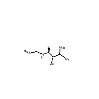 CCCC(NC)C(O)C(=O)NCC(=O)O